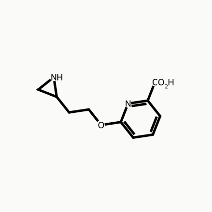 O=C(O)c1cccc(OCCC2CN2)n1